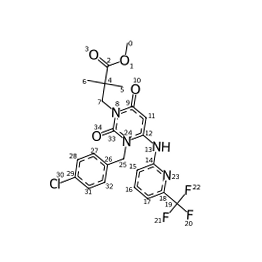 COC(=O)C(C)(C)Cn1c(=O)cc(Nc2cccc(C(F)(F)F)n2)n(Cc2ccc(Cl)cc2)c1=O